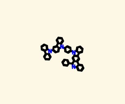 c1ccc(-c2nc3ccccc3c3cc4c5ccccc5n(-c5ccc(-n6c7ccccc7c7cc(-n8c9ccccc9c9ccccc98)ccc76)cc5)c4cc23)cc1